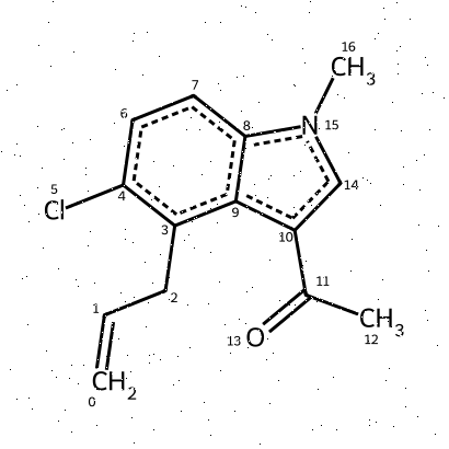 C=CCc1c(Cl)ccc2c1c(C(C)=O)cn2C